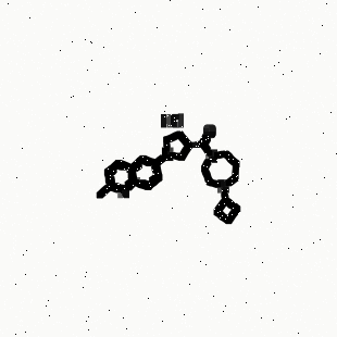 Cc1ccc2cc(N3CC[C@@H](C(=O)N4CCCN(C5CCC5)CC4)C3)ccc2n1.Cl